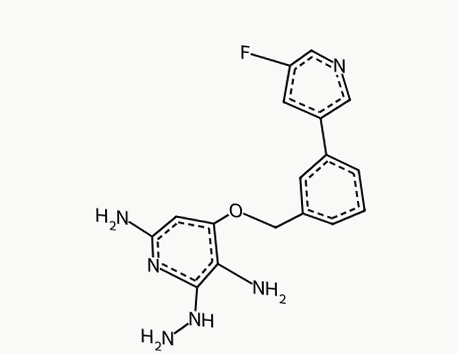 NNc1nc(N)cc(OCc2cccc(-c3cncc(F)c3)c2)c1N